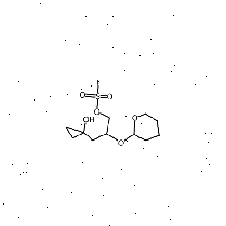 CS(=O)(=O)OCC(CC1(O)CC1)OC1CCCCO1